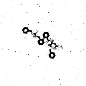 CC(C)C[C@H](NC(=O)c1ccccc1-c1ccccc1CNC(=O)OCc1ccccc1)C(=O)NCc1ccccc1